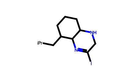 CC(C)CC1CCCC2NCC(I)=NC12